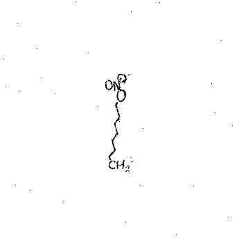 [CH2]CCCCCCCO[N+](=O)[O-]